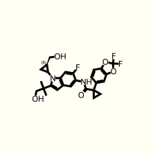 CC(C)(CO)c1cc2cc(NC(=O)C3(c4ccc5c(c4)OC(F)(F)O5)CC3)c(F)cc2n1C1C[C@H]1CO